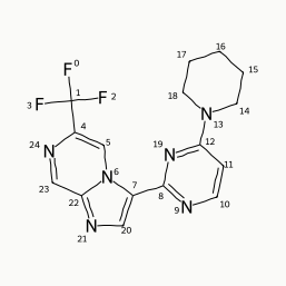 FC(F)(F)c1cn2c(-c3nccc(N4CCCCC4)n3)cnc2cn1